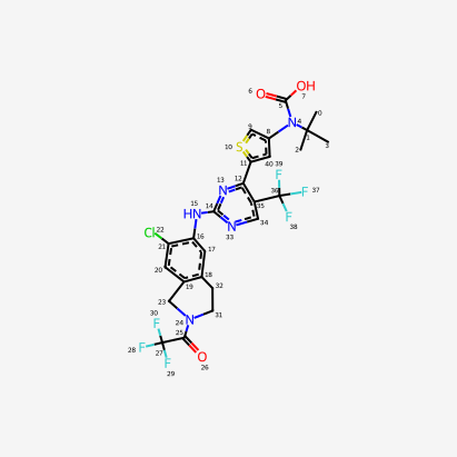 CC(C)(C)N(C(=O)O)c1csc(-c2nc(Nc3cc4c(cc3Cl)CN(C(=O)C(F)(F)F)CC4)ncc2C(F)(F)F)c1